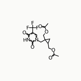 CC(=O)OCC1CC1(COC(C)=O)Cn1cc(C(F)(F)F)c(=O)[nH]c1=O